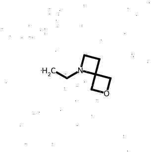 [CH2]CN1CCC12COC2